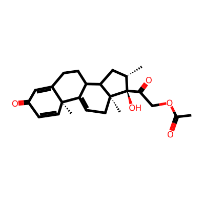 CC(=O)OCC(=O)[C@@]1(O)[C@@H](C)CC2C3CCC4=CC(=O)C=C[C@]4(C)C3=CC[C@@]21C